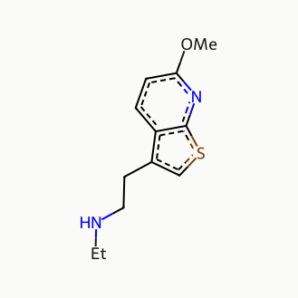 CCNCCc1csc2nc(OC)ccc12